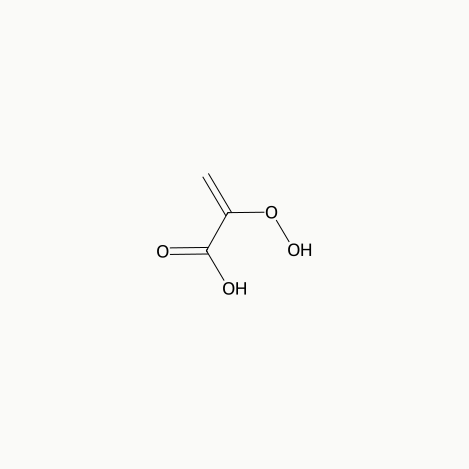 C=C(OO)C(=O)O